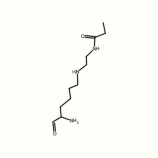 CCC(=O)NCCNCCCCC(N)C=O